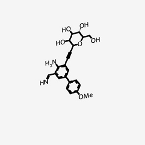 COc1ccc(-c2cc(C#CC3OC(CO)[C@@H](O)C(O)C3O)c(N)c(C=N)c2)cc1